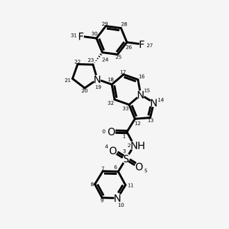 O=C(NS(=O)(=O)c1cccnc1)c1cnn2ccc(N3CCC[C@@H]3c3cc(F)ccc3F)cc12